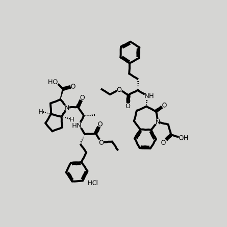 CCOC(=O)[C@H](CCc1ccccc1)N[C@@H](C)C(=O)N1[C@H](C(=O)O)C[C@@H]2CCC[C@@H]21.CCOC(=O)[C@H](CCc1ccccc1)N[C@H]1CCc2ccccc2N(CC(=O)O)C1=O.Cl